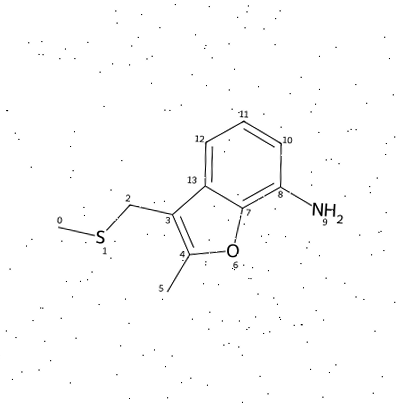 CSCc1c(C)oc2c(N)cccc12